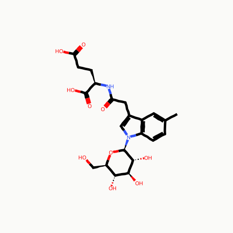 Cc1ccc2c(c1)c(CC(=O)N[C@H](CCC(=O)O)C(=O)O)cn2[C@@H]1O[C@H](CO)[C@@H](O)[C@H](O)[C@H]1O